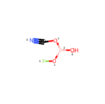 N#COB(O)OF